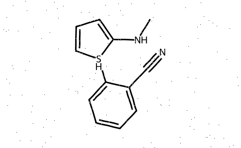 CNC1=CC=C[SH]1c1ccccc1C#N